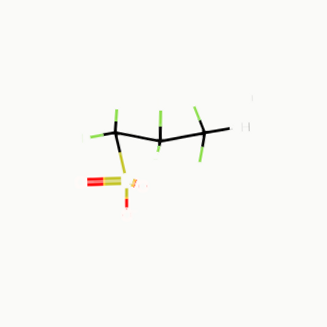 CC(F)(F)C(F)(F)C(F)(F)S(=O)(=O)[O-].[Li+]